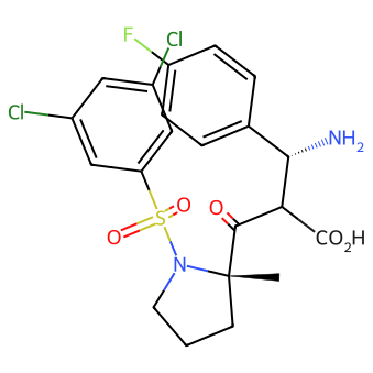 C[C@@]1(C(=O)C(C(=O)O)[C@@H](N)c2ccc(F)cc2)CCCN1S(=O)(=O)c1cc(Cl)cc(Cl)c1